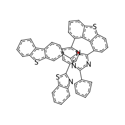 c1ccc(-c2nc(-c3ccc4c(c3)sc3ccccc34)nc(-c3cccc4sc5cccc(-c6ccc(-c7nc8ccccc8s7)cc6)c5c34)n2)cc1